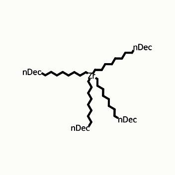 CCCCCCCCCCCCCCCCC[CH2][Zr]([CH2]CCCCCCCCCCCCCCCCC)([CH2]CCCCCCCCCCCCCCCCC)[CH2]CCCCCCCCCCCCCCCCC